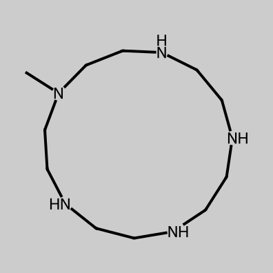 CN1CCNCCNCCNCCNCC1